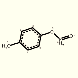 Cc1ccc(O[PH2]=O)cc1